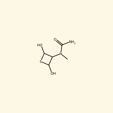 CN(C(N)=O)C1C(O)SC1O